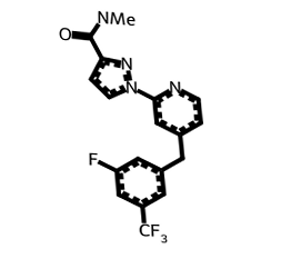 CNC(=O)c1ccn(-c2cc(Cc3cc(F)cc(C(F)(F)F)c3)ccn2)n1